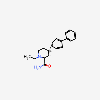 CCN1CC[C@H](c2ccc(-c3ccccc3)cc2)[CH]C1C(N)=O